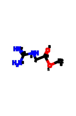 CCOC(=O)CNC(=N)N